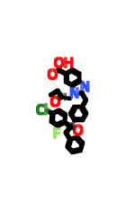 O=C(O)c1ccc2nc(Cc3ccc([C@@]4(c5ccc(Cl)cc5F)Cc5ccccc5O4)cc3)n(C[C@@H]3CCO3)c2c1